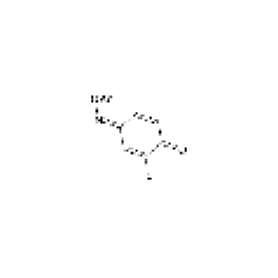 CC(=O)ON=C1C=CC(=O)C(F)=C1